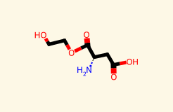 N[C@@H](CC(=O)O)C(=O)OCCO